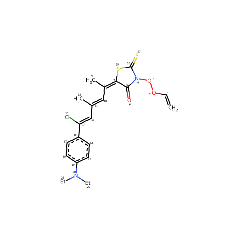 C=COON1C(=O)\C(=C(C)/C=C(C)/C=C(\Cl)c2ccc(N(CC)CC)cc2)SC1=S